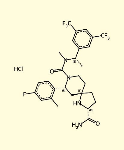 Cc1cc(F)ccc1[C@H]1C[C@]2(CC[C@H](C(N)=O)N2)CCN1C(=O)N(C)[C@@H](C)c1cc(C(F)(F)F)cc(C(F)(F)F)c1.Cl